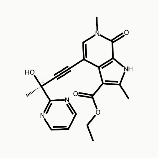 CCOC(=O)c1c(C)[nH]c2c(=O)n(C)cc(C#C[C@](C)(O)c3ncccn3)c12